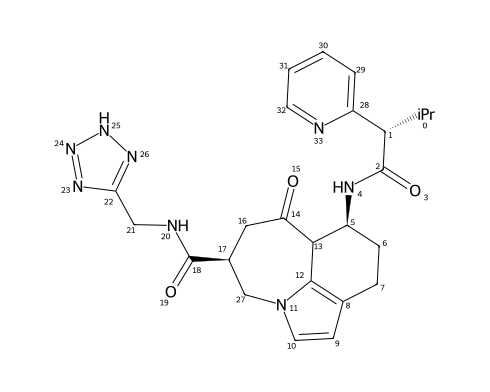 CC(C)[C@H](C(=O)N[C@H]1CCc2ccn3c2C1C(=O)C[C@H](C(=O)NCc1nn[nH]n1)C3)c1ccccn1